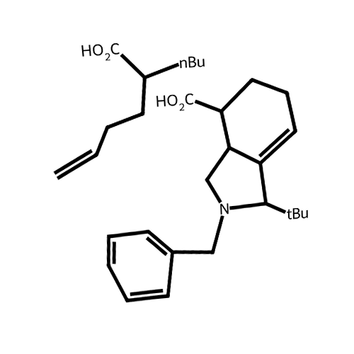 C=CCCC(CCCC)C(=O)O.CC(C)(C)C1C2=CCCC(C(=O)O)C2CN1Cc1ccccc1